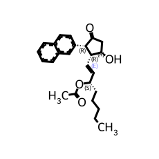 CCCCC[C@@H](/C=C/[C@H]1[C@H](O)CC(=O)[C@H]1c1ccc2ccccc2c1)OC(C)=O